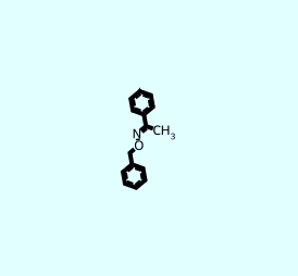 C/C(=N\OCc1ccccc1)c1cc[c]cc1